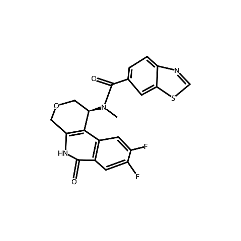 CN(C(=O)c1ccc2ncsc2c1)[C@@H]1COCc2[nH]c(=O)c3cc(F)c(F)cc3c21